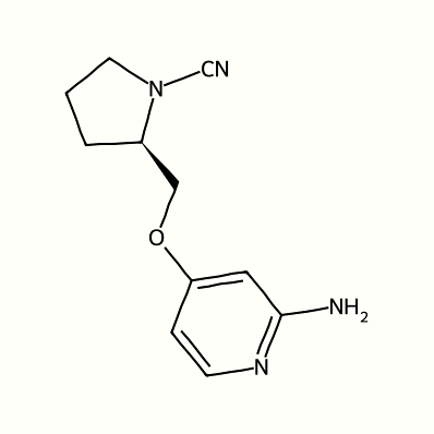 N#CN1CCC[C@@H]1COc1ccnc(N)c1